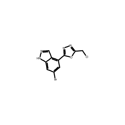 ClCc1nnc(-c2cc(Br)cc3[nH]ncc23)o1